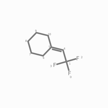 FC(F)(F)C=C1CCCCC1